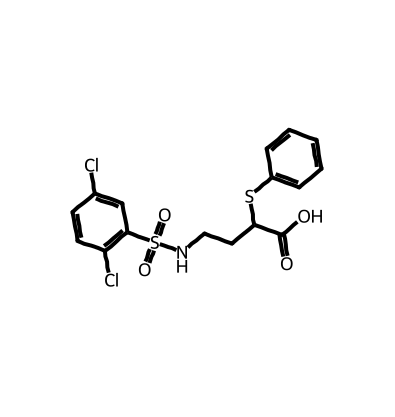 O=C(O)C(CCNS(=O)(=O)c1cc(Cl)ccc1Cl)Sc1ccccc1